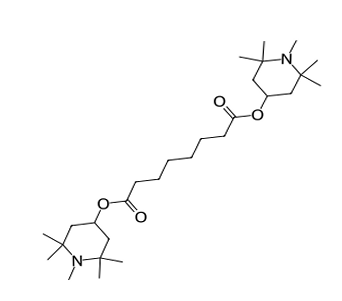 CN1C(C)(C)CC(OC(=O)CCCCCCC(=O)OC2CC(C)(C)N(C)C(C)(C)C2)CC1(C)C